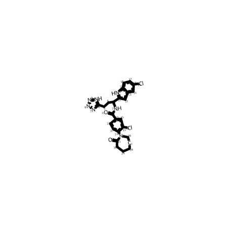 O=C(NC(CCc1nnn[nH]1)c1cc2cc(Cl)ccc2[nH]1)c1ccc(N2CCCCCC2=O)c(Cl)c1